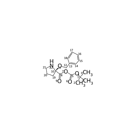 CC(C)(C)OC(=O)OC(=O)[C@]1(OCc2ccccc2)CCCN1